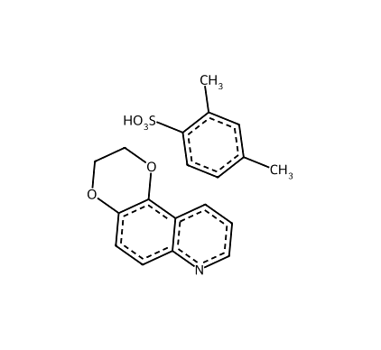 Cc1ccc(S(=O)(=O)O)c(C)c1.c1cnc2ccc3c(c2c1)OCCO3